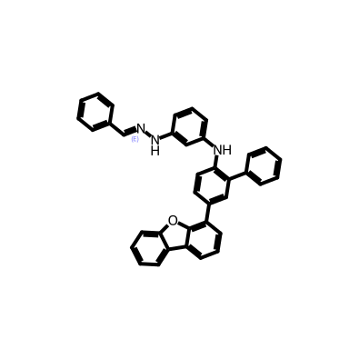 C(=N\Nc1cccc(Nc2ccc(-c3cccc4c3oc3ccccc34)cc2-c2ccccc2)c1)/c1ccccc1